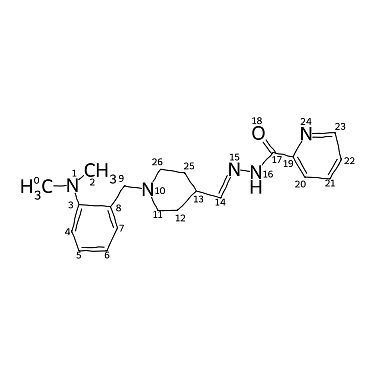 CN(C)c1ccccc1CN1CCC(/C=N/NC(=O)c2ccccn2)CC1